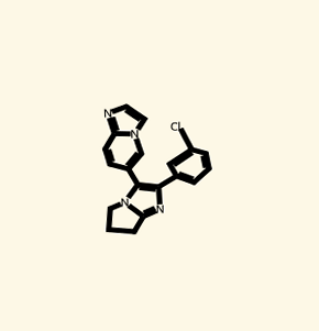 Clc1cccc(-c2nc3n(c2-c2ccc4nccn4c2)CCC3)c1